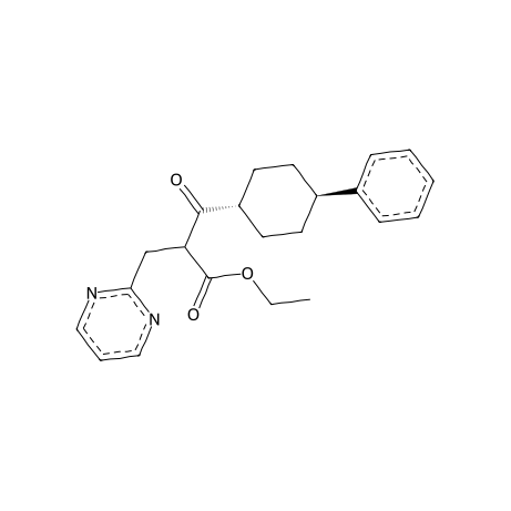 CCOC(=O)C(Cc1ncccn1)C(=O)[C@H]1CC[C@H](c2ccccc2)CC1